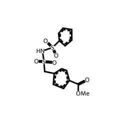 COC(=O)c1ccc(CS(=O)(=O)NS(=O)(=O)c2ccccc2)cc1